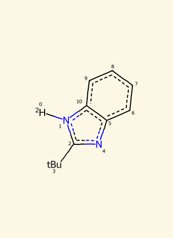 [2H]n1c(C(C)(C)C)nc2ccccc21